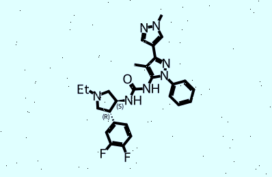 CCN1C[C@@H](NC(=O)Nc2c(C)c(-c3cnn(C)c3)nn2-c2ccccc2)[C@H](c2ccc(F)c(F)c2)C1